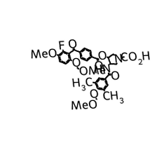 COCOc1ccc(OC)c(F)c1C(=O)c1ccc(C(=O)OC2CN(C(=O)O)CC2NC(=O)c2cc(C)c(OCOC)c(C)c2)cc1